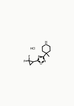 CC1(c2noc(C3CC3(F)F)n2)CCNCC1.Cl